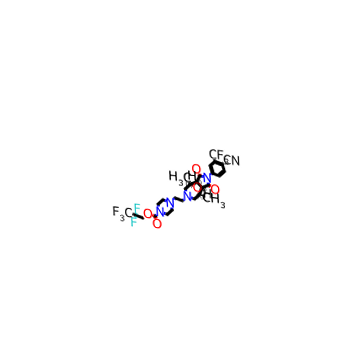 C[C@]12CN(CCN3CCN(C(=O)OCC(F)(F)C(F)(F)F)CC3)C[C@](C)(O1)[C@H]1C(=O)N(c3ccc(C#N)c(C(F)(F)F)c3)C(=O)[C@H]12